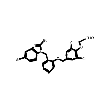 CCc1nc2cc(Br)ccc2n1Cc1ccccc1OCc1cc(Cl)c(OCC=O)c(Cl)c1